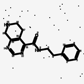 O=C(NCCc1ccccc1)c1ncnc2c1CCNC2